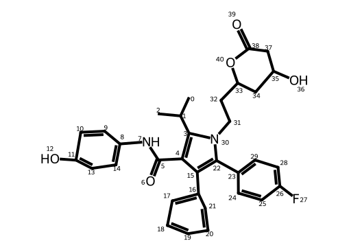 CC(C)c1c(C(=O)Nc2ccc(O)cc2)c(-c2ccccc2)c(-c2ccc(F)cc2)n1CCC1CC(O)CC(=O)O1